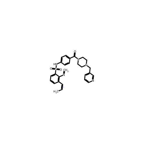 C=Nc1c(/C=C\C)cccc1S(=O)(=O)Nc1ccc(C(=O)N2CCN(Cc3cccnc3)CC2)cc1